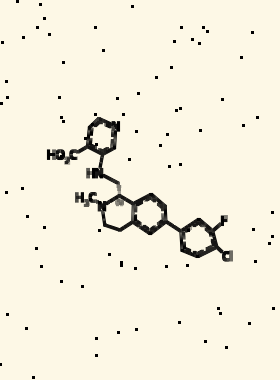 CN1CCc2cc(-c3ccc(Cl)c(F)c3)ccc2[C@H]1CNc1cnccc1C(=O)O